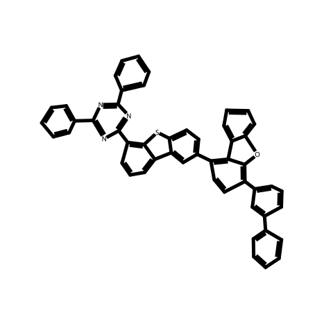 c1ccc(-c2cccc(-c3ccc(-c4ccc5sc6c(-c7nc(-c8ccccc8)nc(-c8ccccc8)n7)cccc6c5c4)c4c3oc3ccccc34)c2)cc1